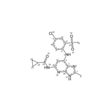 Cc1nc2c(Nc3ccc(Cl)cc3S(C)(=O)=O)cc(NC(=O)C3CC3)nc2[nH]1